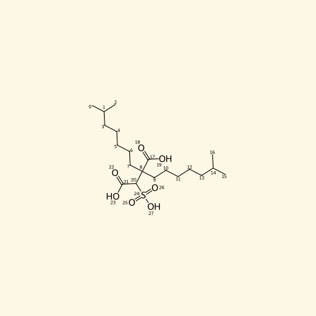 CC(C)CCCCCC(CCCCCC(C)C)(C(=O)O)C(C(=O)O)S(=O)(=O)O